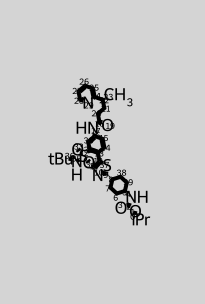 CC(C)OC(=O)N[C@H]1CC[C@H](c2ncc(-c3ccc(NC(=O)CC[C@@H](C)c4ccccn4)cc3S(=O)(=O)NC(C)(C)C)s2)CC1